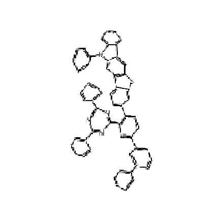 c1ccc(-c2cccc(-c3ccc(-c4ccc5c(c4)sc4cc6c7ccccc7n(-c7ccccc7)c6cc45)c(-c4nc(-c5ccccc5)nc(-c5ccccc5)n4)c3)c2)cc1